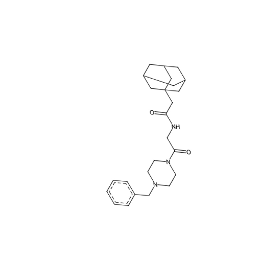 O=C(CC12CC3CC(CC(C3)C1)C2)NCC(=O)N1CCN(Cc2ccccc2)CC1